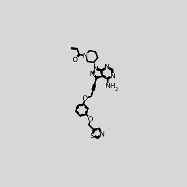 C=CC(=O)N1CCC[C@@H](n2nc(C#CCOc3cccc(OCc4cncs4)c3)c3c(N)ncnc32)C1